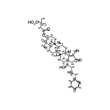 CC(C)C1=C2[C@H]3CC[C@@H]4[C@@]5(C)CC[C@H](OC(=O)CC(C)(C)C(=O)O)C(C)(C)[C@@H]5CC[C@@]4(C)[C@]3(C)CCC2(C(O)CNCc2ccncn2)CC1=O